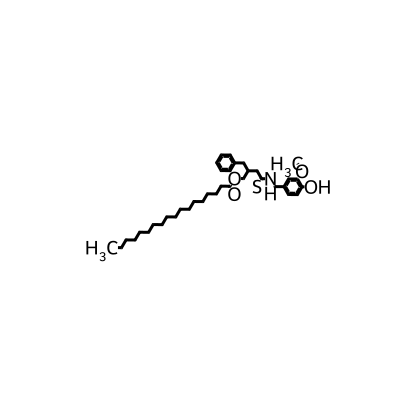 CCCCCCCCCCCCCCCCCC(=O)OCC(CC(=S)NCc1ccc(O)c(OC)c1)Cc1ccccc1